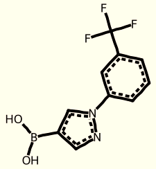 OB(O)c1cnn(-c2cccc(C(F)(F)F)c2)c1